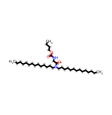 CCCCCCCCCCCCCCN(CCCCCCCCCCCCCC)C(=O)CNC(=O)OCCCC